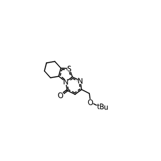 CC(C)(C)OCc1cc(=O)n2c3c(sc2n1)CCCC3